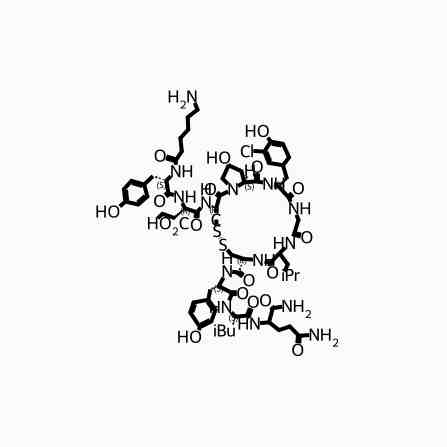 CCC(C)[C@H](NC(=O)[C@H](Cc1ccc(O)cc1)NC(=O)[C@@H]1CSSC[C@H](NC(=O)[C@@H](CCC(=O)O)NC(=O)[C@H](Cc2ccc(O)cc2)NC(=O)CCCCCN)C(=O)N2CC(O)C[C@H]2C(=O)N[C@@H](CC2C=C(Cl)C(O)=CC2)C(=O)NCC(=O)NC(CC(C)C)C(=O)N1)C(=O)NC(CCC(N)=O)C(N)=O